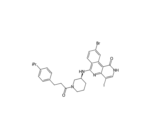 CC(C)c1ccc(CCC(=O)N2CCC[C@H](Nc3nc4c(I)c[nH]c(=O)c4c4cc(Br)ccc34)C2)cc1